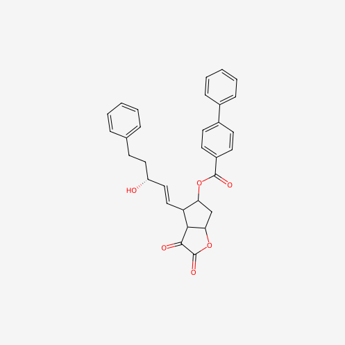 O=C1OC2CC(OC(=O)c3ccc(-c4ccccc4)cc3)C(C=C[C@H](O)CCc3ccccc3)C2C1=O